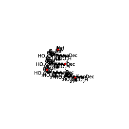 CCCCCCCCCCCCCCC(CNC(=O)CC(C(=O)O)S(=O)(=O)[O-])C(C)(C(=O)O)C(=O)O.CCCCCCCCCCCCCCC(CNC(=O)CC(C(=O)O)S(=O)(=O)[O-])C(C)(C(=O)O)C(=O)O.CCCCCCCCCCCCCCC(CNC(=O)CC(C(=O)O)S(=O)(=O)[O-])C(C)(C(=O)O)C(=O)O.CCCCCCCCCCCCCCC(CNC(=O)CC(C(=O)O)S(=O)(=O)[O-])C(C)(C(=O)O)C(=O)O.[Na+].[Na+].[Na+].[Na+]